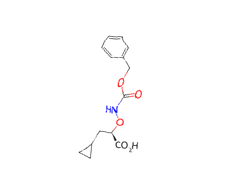 O=C(NO[C@H](CC1CC1)C(=O)O)OCc1ccccc1